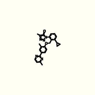 Cc1ccnc(-c2ccc(OCc3c(C4CC4)cccc3-n3nnn(C)c3=O)c(C)c2)n1